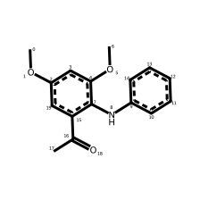 COc1cc(OC)c(Nc2ccccc2)c(C(C)=O)c1